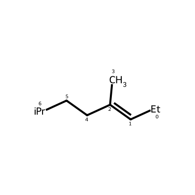 [CH2]C/C=C(\C)CCC(C)C